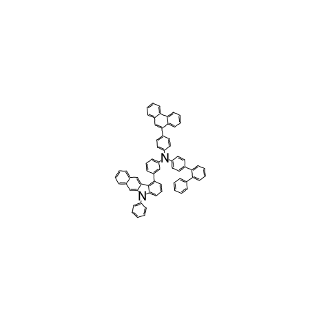 c1ccc(-c2ccccc2-c2ccc(N(c3ccc(-c4cc5ccccc5c5ccccc45)cc3)c3cccc(-c4cccc5c4c4cc6ccccc6cc4n5-c4ccccc4)c3)cc2)cc1